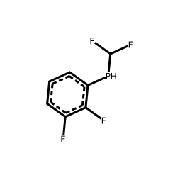 Fc1cccc(PC(F)F)c1F